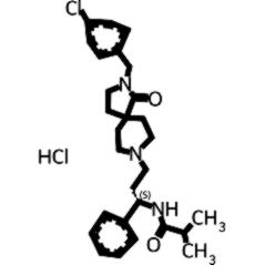 CC(C)C(=O)N[C@@H](CCN1CCC2(CC1)CCN(Cc1ccc(Cl)cc1)C2=O)c1ccccc1.Cl